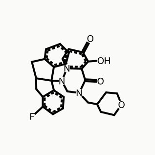 O=C1c2c(O)c(=O)ccn2N(C23c4ccccc4CC2Cc2c(F)cccc23)CN1CC1CCOCC1